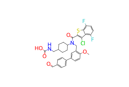 COc1ccc(-c2ccc(C=O)cc2)cc1CN(C(=O)c1sc2c(F)ccc(F)c2c1Cl)C1CCC(CNC(=O)O)CC1